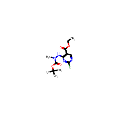 CCOC(=O)c1cnc(Cl)nc1NN(C)C(=O)OC(C)(C)C